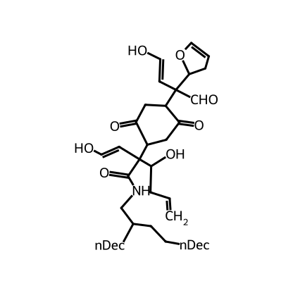 C=CCC(O)C(C=CO)(C(=O)NCC(CCCCCCCCCC)CCCCCCCCCCCC)C1CC(=O)C(C(C=O)(C=CO)C2CC=CO2)CC1=O